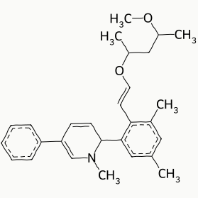 COC(C)CC(C)O/C=C/c1c(C)cc(C)cc1C1C=CC(c2ccccc2)=CN1C